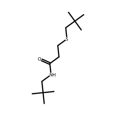 CC(C)(C)CNC(=O)CCSCC(C)(C)C